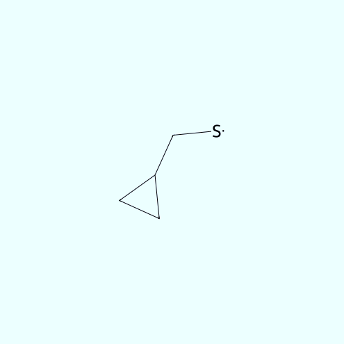 [S]CC1CC1